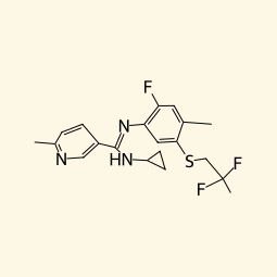 Cc1ccc(/C(=N/c2cc(SCC(C)(F)F)c(C)cc2F)NC2CC2)cn1